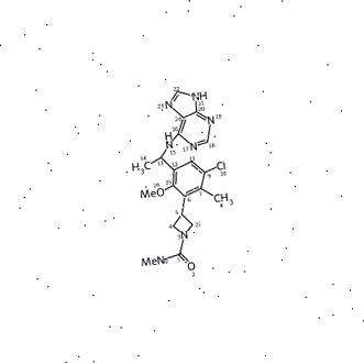 CNC(=O)N1CC(c2c(C)c(Cl)cc(C(C)Nc3ncnc4[nH]cnc34)c2OC)C1